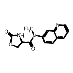 CN(C(=O)C1COC(=O)N1)c1ccc2cccnc2c1